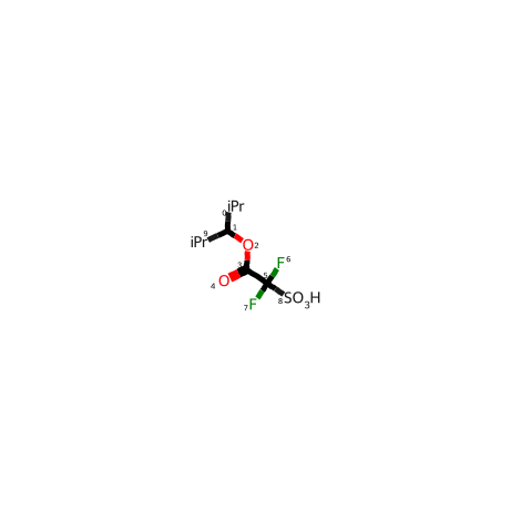 CC(C)C(OC(=O)C(F)(F)S(=O)(=O)O)C(C)C